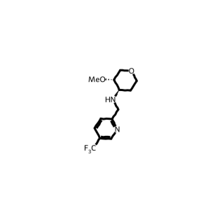 CO[C@@H]1COCC[C@H]1NCc1ccc(C(F)(F)F)cn1